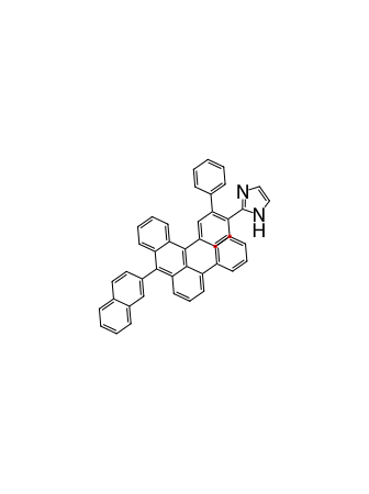 c1ccc(-c2cc(-c3c4ccccc4c(-c4ccc5ccccc5c4)c4cccc(-c5ccccc5)c34)ccc2-c2ncc[nH]2)cc1